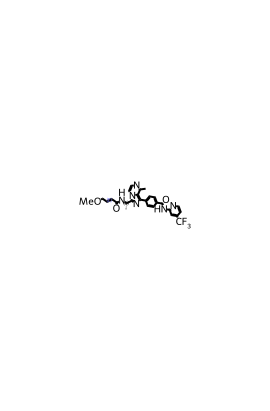 COC/C=C/C(=O)N[C@@H](C)c1nc(-c2ccc(C(=O)Nc3cc(C(F)(F)F)ccn3)cc2)c2c(C)nccn12